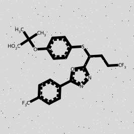 CC(C)(Oc1ccc(SC(CCC(F)(F)F)c2nnc(-c3ccc(C(F)(F)F)cc3)o2)cc1)C(=O)O